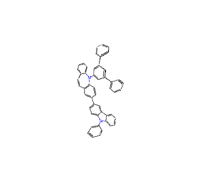 C1=Cc2cc(-c3ccc4c(c3)c3ccccc3n4-c3ccccc3)ccc2N(c2cc(-c3ccccc3)cc(-c3ccccc3)c2)c2ccccc21